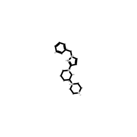 c1ccc(Cn2ccc(N3CCCC(N4CCOCC4)C3)n2)cc1